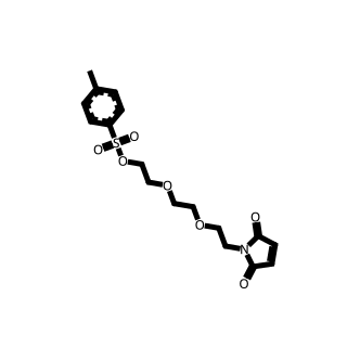 Cc1ccc(S(=O)(=O)OCCOCCOCCN2C(=O)C=CC2=O)cc1